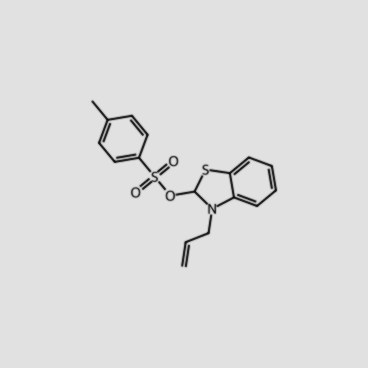 C=CCN1c2ccccc2SC1OS(=O)(=O)c1ccc(C)cc1